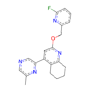 Cc1cncc(-c2cc(OCc3cccc(F)n3)nc3c2CCCC3)n1